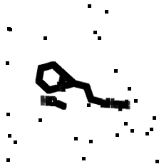 CCCCCCCCCC1C2CCCCN12.CO